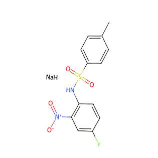 Cc1ccc(S(=O)(=O)Nc2ccc(F)cc2[N+](=O)[O-])cc1.[NaH]